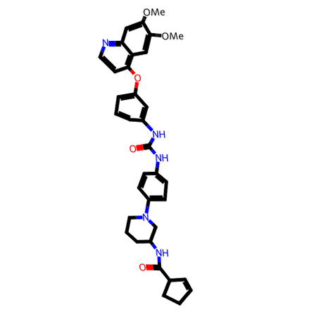 COc1cc2nccc(Oc3cccc(NC(=O)Nc4ccc(N5CCCC(NC(=O)C6C=CCC6)C5)cc4)c3)c2cc1OC